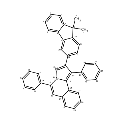 CC1(C)c2ccccc2-c2cc(-c3nn4c(-c5ccccc5)cc5ccccc5c4c3-c3ccccc3)ccc21